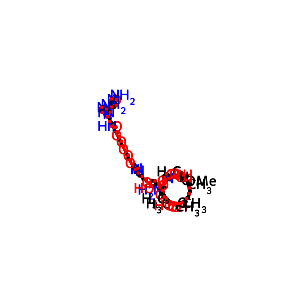 COC1C[C@@H]2CC[C@@H](C)[C@@](O)(O2)C(=O)C(=O)N2CCCCC2C(=O)OC([C@H](N)CC2CCC(OCCCCc3cn(CCOCCOCCOCCOCCOCCC(=O)NCCCCn4nc(-c5ccc6oc(N)nc6c5)c5c(N)ncnc54)nn3)[C@H](O)C2)CC(=O)C(C)/C=C(\C)C(O)[C@@H](O)C(=O)C(C)CC(C)/C=C/C=C/C=C/1C